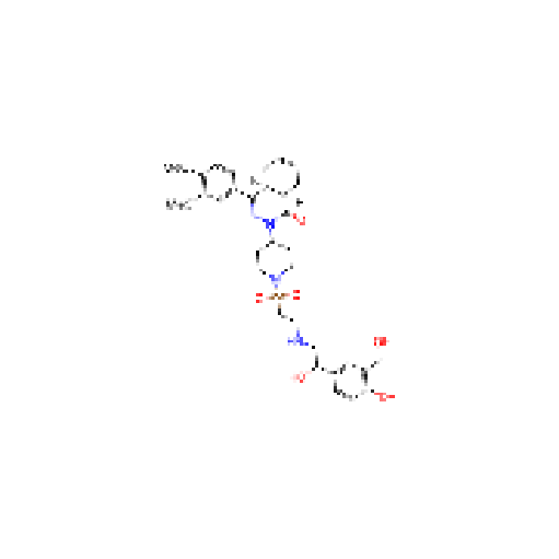 COc1ccc(C2=NN(C3CCN(S(=O)(=O)CCNCC(O)c4ccc(O)c(CO)c4)CC3)C(=O)[C@@H]3CC=CC[C@H]23)cc1OC